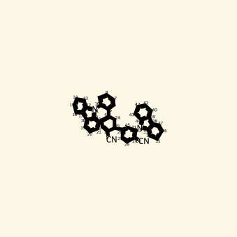 N#CC1=CC=C(c2ccccc2-n2c3ccccc3c3ccccc32)CC1c1ccc(C#N)c(-n2c3ccccc3c3ccccc32)c1